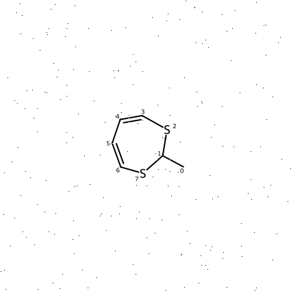 CC1SC=CC=CS1